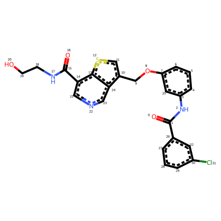 O=C(Nc1cccc(OCc2csc3c(C(=O)NCCO)cncc23)c1)c1cccc(Cl)c1